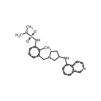 Cc1c(CN2CCC(Nc3cccc4cnccc34)C2)cccc1NS(=O)(=O)N(C)C